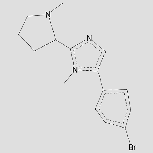 CN1CCCC1c1ncc(-c2ccc(Br)cc2)n1C